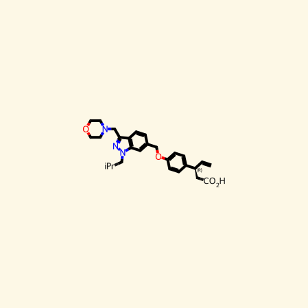 C=C[C@@H](CC(=O)O)c1ccc(OCc2ccc3c(CN4CCOCC4)nn(CC(C)C)c3c2)cc1